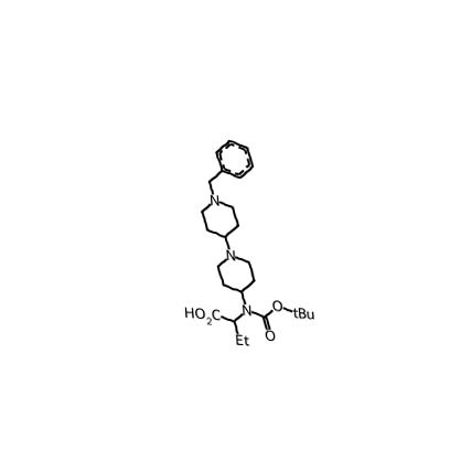 CCC(C(=O)O)N(C(=O)OC(C)(C)C)C1CCN(C2CCN(Cc3ccccc3)CC2)CC1